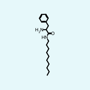 CCCCCCCCCCNC(=O)C(N)Cc1ccccc1